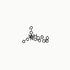 c1ccc(-c2ccc(C3=NC(c4ccc5c(c4)oc4c(-c6ccccc6-c6cccc7oc8ccccc8c67)cccc45)NC(c4ccc(-c5ccccc5)cc4)=N3)cc2)cc1